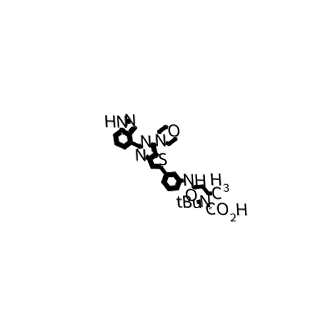 CC(CC(=O)Nc1cccc(-c2cc3nc(-c4cccc5[nH]ncc45)nc(N4CCOCC4)c3s2)c1)N(C(=O)O)C(C)(C)C